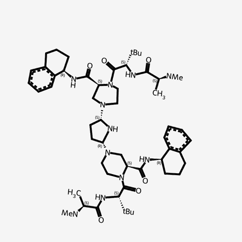 CN[C@@H](C)C(=O)N[C@H](C(=O)N1CCN([C@@H]2CC[C@H](N3CCN(C(=O)[C@@H](NC(=O)[C@H](C)NC)C(C)(C)C)[C@H](C(=O)N[C@@H]4CCCc5ccccc54)C3)N2)C[C@H]1C(=O)N[C@@H]1CCCc2ccccc21)C(C)(C)C